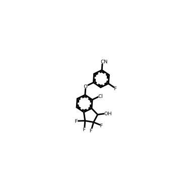 N#Cc1cc(F)cc(Oc2ccc3c(c2Cl)C(O)C(F)(F)C3(F)F)c1